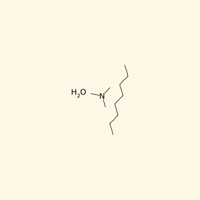 CCCCCCCC.CN(C)C.O